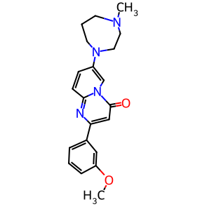 COc1cccc(-c2cc(=O)n3cc(N4CCCN(C)CC4)ccc3n2)c1